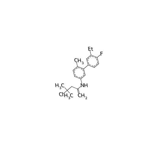 C=C(CC(C)(C)Cl)Nc1ccc(C)c(-c2ccc(F)c(CC)c2)c1